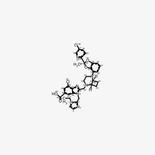 CCn1ccnc1Cn1c(CN2CCN(c3cccc4c3O[C@@](C)(c3ccc(Cl)cn3)O4)[C@@H]3CC[C@@H]32)nc2c(Cl)cc(C(=O)O)cc21